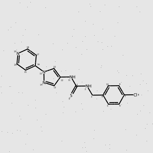 S=C(NCc1ccc(Cl)cc1)Nc1cnn(-c2ccncc2)c1